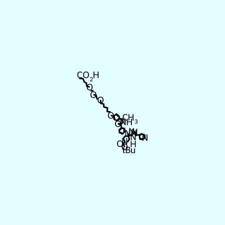 C[C@@H](NC(=O)c1cccc(NC2(c3nnc(-c4ccncc4)[nH]3)CCN(C(=O)OC(C)(C)C)CC2)c1)c1ccc(OCCCCCCOCCOCCOCCCCCC(=O)O)cc1